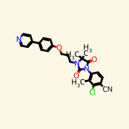 Cc1c(N2C(=O)N(CCCOc3ccc(-c4ccncc4)cc3)C(C)(C)C2=O)ccc(C#N)c1Cl